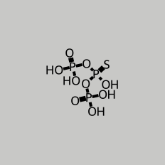 O=P(O)(O)OP(O)(=S)OP(=O)(O)O